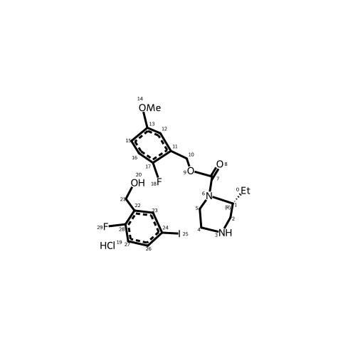 CC[C@@H]1CNCCN1C(=O)OCc1cc(OC)ccc1F.Cl.OCc1cc(I)ccc1F